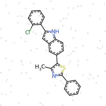 Cc1nc(-c2ccccc2)sc1-c1ccc2[nH]c(-c3ccccc3Cl)cc2c1